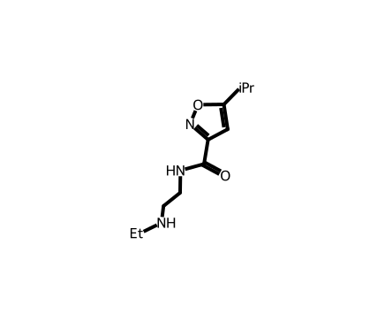 CCNCCNC(=O)c1cc(C(C)C)on1